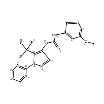 COc1cccc(NC(=O)Oc2cnn(-c3ncccn3)c2C(F)(F)F)c1